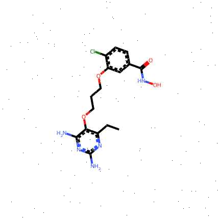 CCc1nc(N)nc(N)c1OCCCOc1cc(C(=O)NO)ccc1Cl